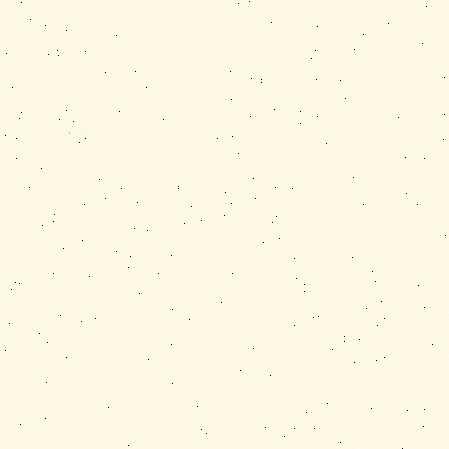 O=[C]CCCCCCc1cccc2ccccc12